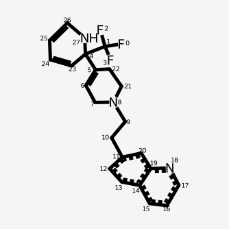 FC(F)(F)C1(C2=CCN(CCc3ccc4cccnc4c3)CC2)C=CC=CN1